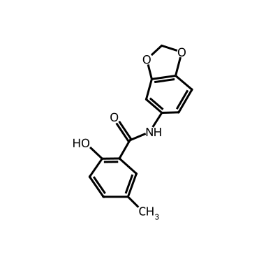 Cc1ccc(O)c(C(=O)Nc2ccc3c(c2)OCO3)c1